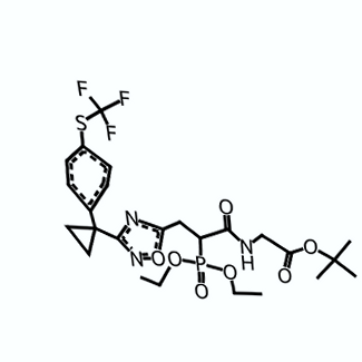 CCOP(=O)(OCC)C(Cc1nc(C2(c3ccc(SC(F)(F)F)cc3)CC2)no1)C(=O)NCC(=O)OC(C)(C)C